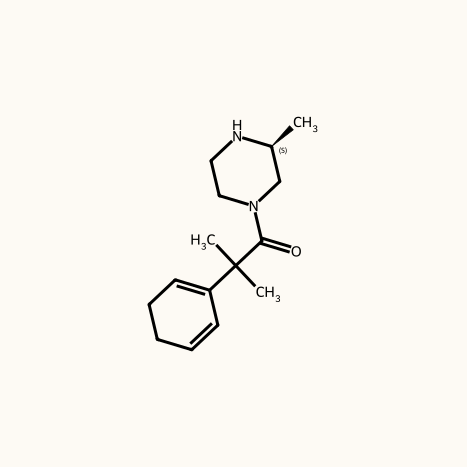 C[C@H]1CN(C(=O)C(C)(C)C2=CCCC=C2)CCN1